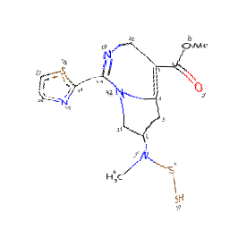 COC(=O)C1=C2CC(N(C)SS)CN2C(c2nccs2)=NC1